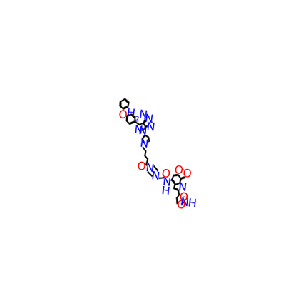 Nc1ncnc2c1c(-c1ccc(Oc3ccccc3)cc1)nn2C1CCN(CCCCC(=O)N2CCN(CC(=O)Nc3cc4c(c5c3C=C(C3CCONO3)N=5)=COCO4)CC2)C1